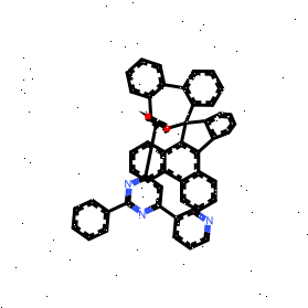 c1ccc(-c2nc(-c3cccnc3)cc(-c3ccc4c(c3)C3(c5ccccc5-c5ccccc5-4)c4ccccc4-c4c3c3ccccc3c3ccccc43)n2)cc1